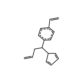 C=CCC(c1ccc(C=C)cc1)C1C=CC=C1